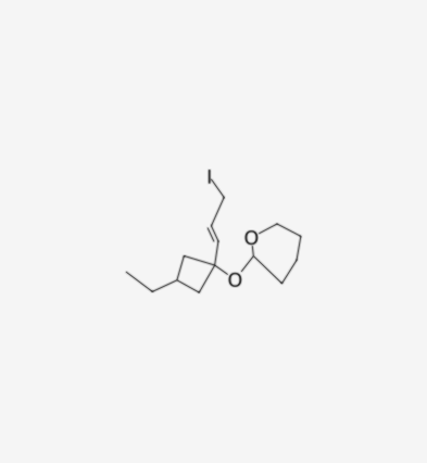 CCC1CC(C=CCI)(OC2CCCCO2)C1